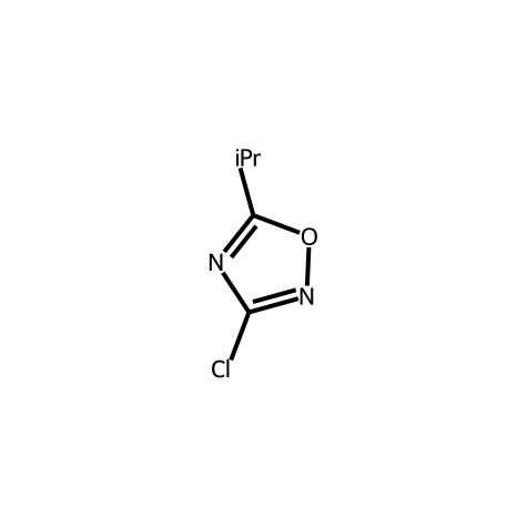 CC(C)c1nc(Cl)no1